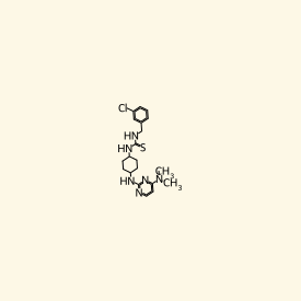 CN(C)c1ccnc(NC2CCC(NC(=S)NCc3cccc(Cl)c3)CC2)n1